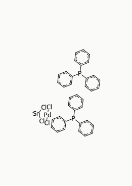 [Cl][Pd][Cl].[Cl][Sn][Cl].c1ccc(P(c2ccccc2)c2ccccc2)cc1.c1ccc(P(c2ccccc2)c2ccccc2)cc1